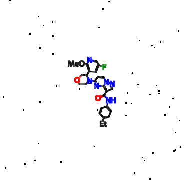 CCc1ccc(NC(=O)c2cnn3ccc(N4CCOCC4c4cc(F)cnc4OC)nc23)cc1